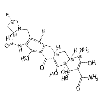 B=C1C(C(N)=O)=C(O)[C@@H](N)[C@@H]2C[C@@H]3Cc4c(F)c5c(c(O)c4C(=O)C3=C(O)[C@]12O)NC(=O)[C@@H]1C[C@H](F)CN1C5